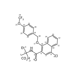 CCC(C)(NC(=O)c1cc(Cl)c2ccccc2c1OCc1ccc(OC(F)(F)F)cc1)C(=O)O